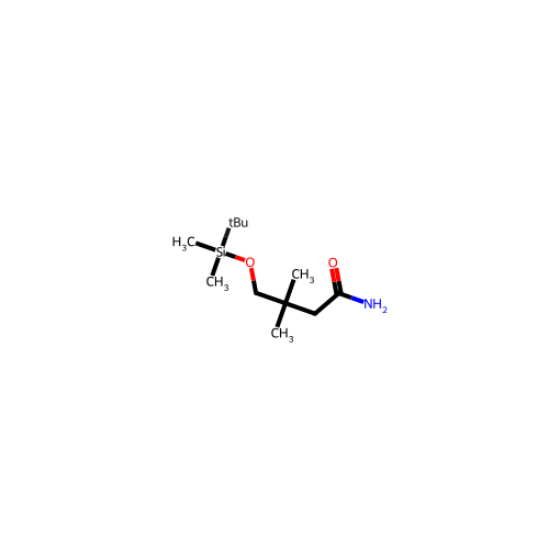 CC(C)(CO[Si](C)(C)C(C)(C)C)CC(N)=O